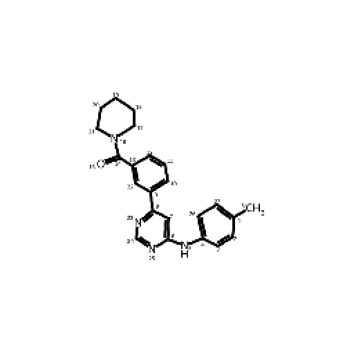 Cc1ccc(Nc2cc(-c3cccc(C(=O)N4CCCCC4)c3)ncn2)cc1